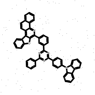 c1ccc(-c2nc(-c3ccc(-n4c5ccccc5c5ccccc54)cc3)nc(-c3cccc(-c4nc5c6ccccc6ccc5c5c4oc4ccccc45)c3)n2)cc1